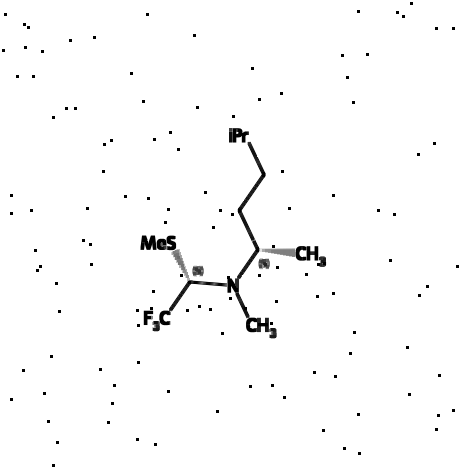 CS[C@H](N(C)[C@@H](C)CCC(C)C)C(F)(F)F